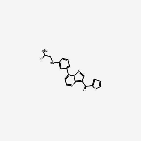 CCCCC(CC)CNc1cccc(-c2ccnc3c(C(=O)c4cccs4)cnn23)c1